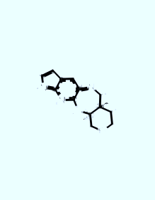 C1=Cc2cc3c(nc2=N1)O[C@@H]1COCC[C@H]1CN=3